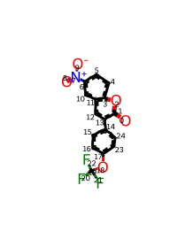 O=c1oc2ccc([N+](=O)[O-])cc2cc1-c1ccc(OC(F)(F)F)cc1